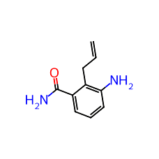 C=CCc1c(N)cccc1C(N)=O